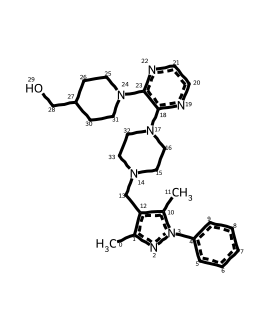 Cc1nn(-c2ccccc2)c(C)c1CN1CCN(c2nccnc2N2CCC(CO)CC2)CC1